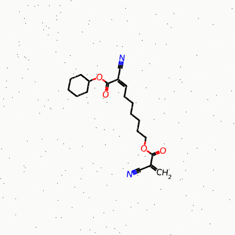 C=C(C#N)C(=O)OCCCCCC/C=C(/C#N)C(=O)OC1CCCCC1